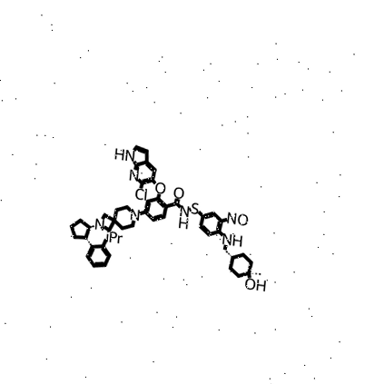 CC(C)c1ccccc1[C@@H]1CCC[C@@H]1N1CC2(CCN(c3ccc(C(=O)NSc4ccc(NC[C@H]5CC[C@](C)(O)CC5)c(N=O)c4)c(Oc4cc5cc[nH]c5nc4Cl)c3)CC2)C1